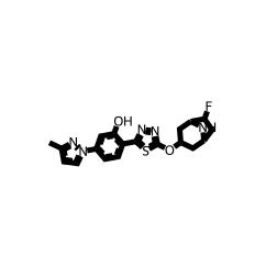 Cc1ccn(-c2ccc(-c3nnc(OC4CC5CC(F)C(C4)N5)s3)c(O)c2)n1